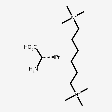 CC(C)[C@H](N)C(=O)O.C[N+](C)(C)CCCCCC[N+](C)(C)C